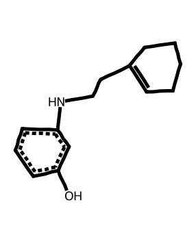 Oc1cccc(NCCC2=CCCCC2)c1